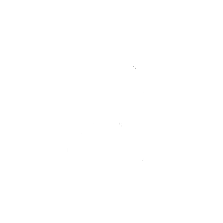 Cc1ccc(CCn2c3c(c4cc(Cl)c(C)cc42)CN(C)CC3)cn1